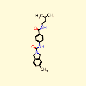 Cc1ccc2c(c1)CN(C(=O)Nc1ccc(C(=O)NCCC(C)C)cc1)C2